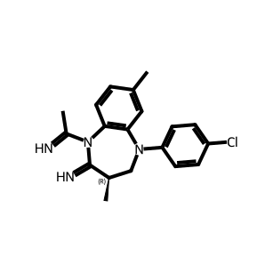 CC(=N)N1C(=N)[C@H](C)CN(c2ccc(Cl)cc2)c2cc(C)ccc21